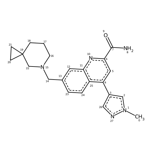 Cn1cc(-c2cc(C(N)=O)nc3cc(CN4CCCC5(CC5)C4)ccc23)cn1